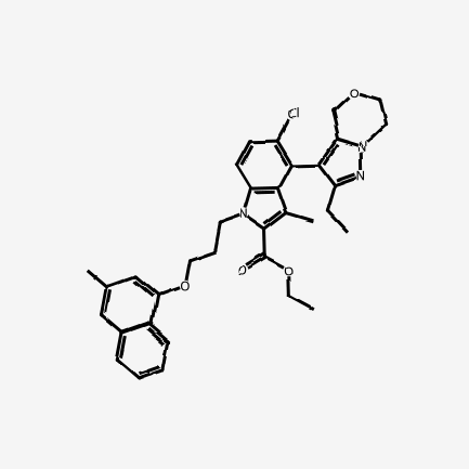 CCOC(=O)c1c(C)c2c(-c3c(CC)nn4c3COCC4)c(Cl)ccc2n1CCCOc1cc(C)cc2ccccc12